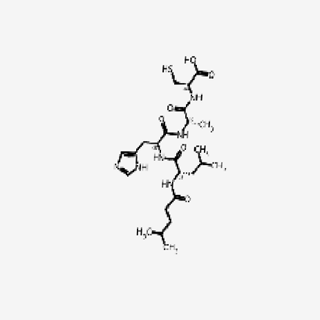 CC(C)CCC(=O)N[C@@H](CC(C)C)C(=O)N[C@@H](Cc1cnc[nH]1)C(=O)N[C@@H](C)C(=O)N[C@@H](CS)C(=O)O